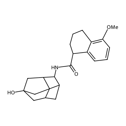 COc1cccc2c1CCCC2C(=O)NC1C2CC3CC1CC(O)(C3)C2